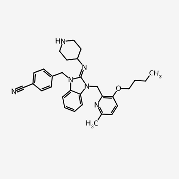 CCCCOc1ccc(C)nc1Cn1/c(=N/C2CCNCC2)n(Cc2ccc(C#N)cc2)c2ccccc21